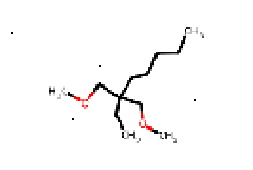 CCCCCC(CC)(COC)COC